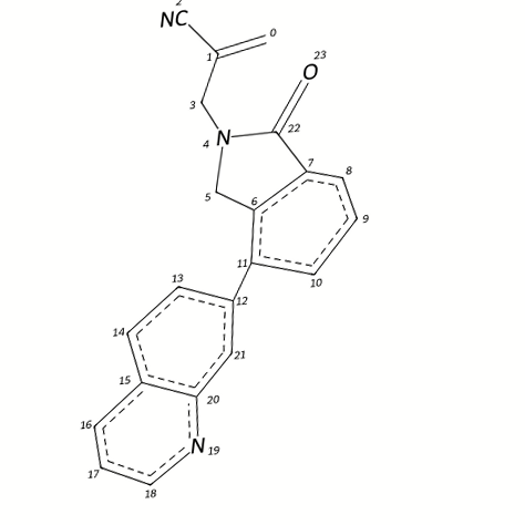 C=C(C#N)CN1Cc2c(cccc2-c2ccc3cccnc3c2)C1=O